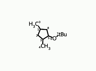 CC1CC(C)C(OC(C)(C)C)C1